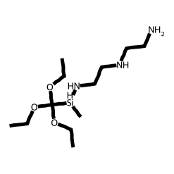 CCOC(OCC)(OCC)[SiH](C)NCCNCCN